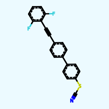 N#CSc1ccc(-c2ccc(C#Cc3c(F)cccc3F)cc2)cc1